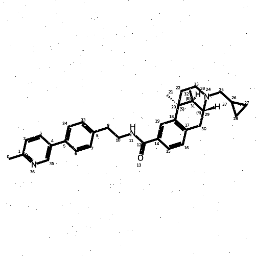 Cc1ccc(-c2ccc(CCNC(=O)c3ccc4c(c3)[C@@]3(C)CCN(CC5CC5)[C@H](C4)[C@@H]3C)cc2)cn1